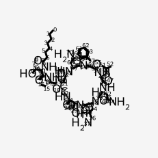 CCCCCCCC(=O)N[C@H](C(=O)N[C@@H](CC)C(=O)N[C@H]1CCNC(=O)[C@H]([C@@H](C)O)NC(=O)[C@H](CCCN)NC(=O)[C@H](CCN)NC(=O)[C@H](CC(C)C)NC(=O)[C@@H](Cc2ccccc2)NC(=O)[C@H](CCN)NC1=O)[C@@H](C)O